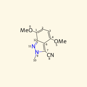 COc1ccc(OC)c2c(C#N)n(C)nc12